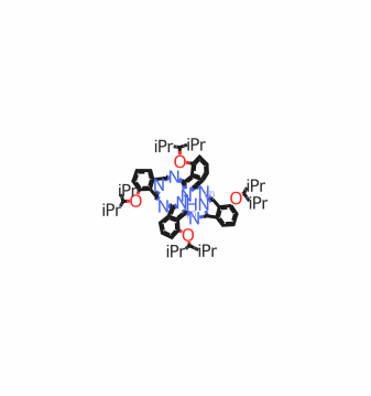 CC(C)C(Oc1cccc2c1/C1=N/c3c4cccc(OC(C(C)C)C(C)C)c4c4nc5nc(nc6c7cccc(OC(C(C)C)C(C)C)c7/c(n6n34)=N/C2N1)-c1c(OC(C(C)C)C(C)C)cccc1-5)C(C)C